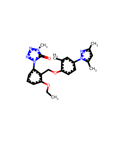 CCOc1cccc(-n2nnn(C)c2=O)c1COc1ccc(-n2nc(C)cc2C)cc1C